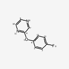 Fc1ccc(Oc2cnccn2)cc1